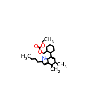 C=C1C2=CC(CCCC)=NC2C(C2CCCCC2COC(=O)OCC)=CC1C